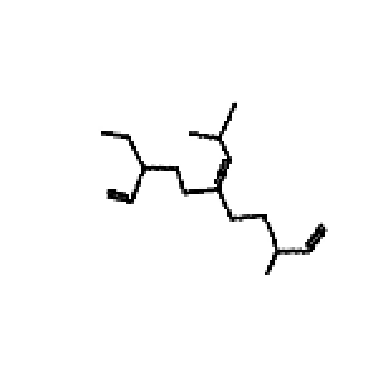 C=CC(C)CCC(=CC(C)C)CCC(C=C)CC